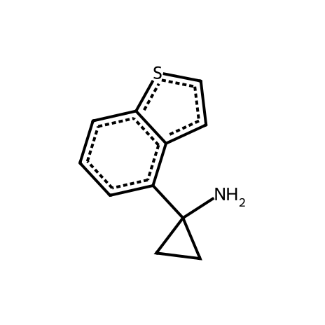 NC1(c2cccc3sccc23)CC1